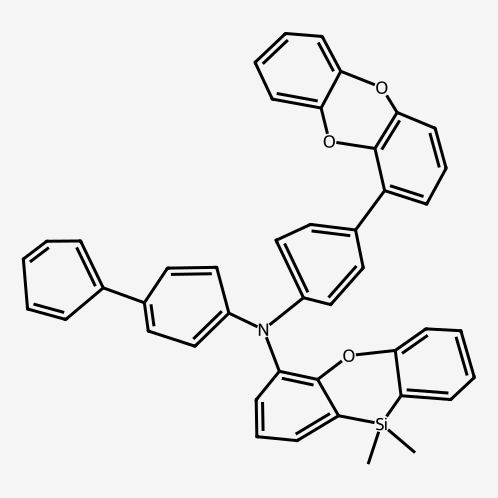 C[Si]1(C)c2ccccc2Oc2c(N(c3ccc(-c4ccccc4)cc3)c3ccc(-c4cccc5c4Oc4ccccc4O5)cc3)cccc21